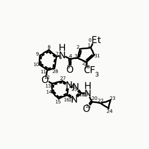 CCC1C=C(C(=O)Nc2cccc(Oc3ccc4nc(NC(=O)C5CC5)nn4c3)c2)C(C(F)(F)F)=C1